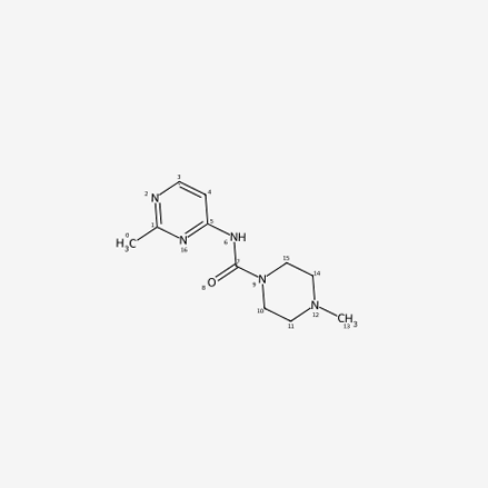 Cc1n[c]cc(NC(=O)N2CCN(C)CC2)n1